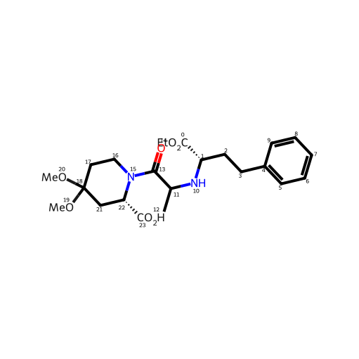 CCOC(=O)[C@H](CCc1ccccc1)NC(C)C(=O)N1CCC(OC)(OC)C[C@H]1C(=O)O